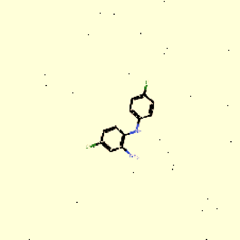 Nc1cc(Cl)ccc1Nc1ccc(Cl)cc1